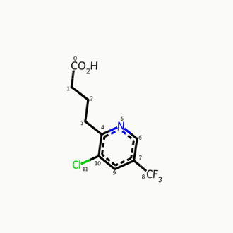 O=C(O)CCCc1ncc(C(F)(F)F)cc1Cl